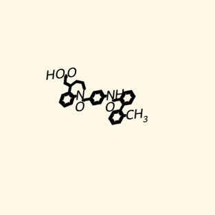 Cc1ccccc1-c1ccccc1C(=O)Nc1ccc(C(=O)N2CCCC(CC(=O)O)c3ccccc32)cc1